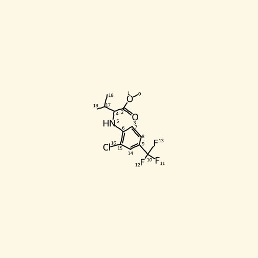 COC(=O)C(Nc1ccc(C(F)(F)F)cc1Cl)C(C)C